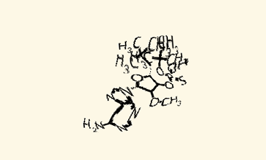 COC1C(OP(O)(=S)OC(C)(C)C)[C@@H](CC(C)(C)C)O[C@H]1n1cnc2c(N)ncnc21